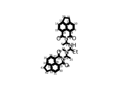 CCC(NC(C)N1C(=O)c2ccc3c4c(ccc(c24)C1=O)CC3)N(C)C(C)N1C(=O)c2ccc3c4c(ccc(c24)C1=O)CC3